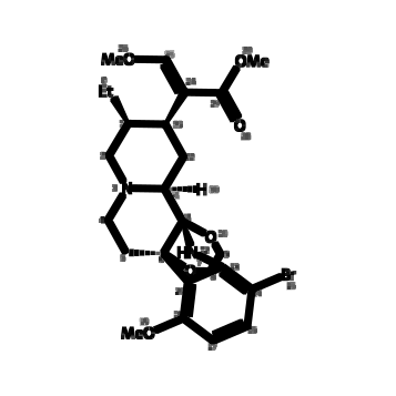 CC[C@@H]1CN2CC[C@@]34OCCO[C@@]3(Nc3c(Br)ccc(OC)c34)[C@@H]2C[C@@H]1/C(=C\OC)C(=O)OC